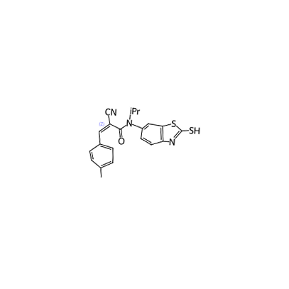 Cc1ccc(/C=C(/C#N)C(=O)N(c2ccc3nc(S)sc3c2)C(C)C)cc1